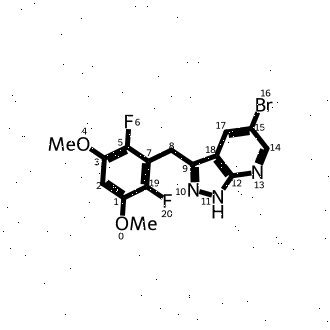 COc1cc(OC)c(F)c(Cc2n[nH]c3ncc(Br)cc23)c1F